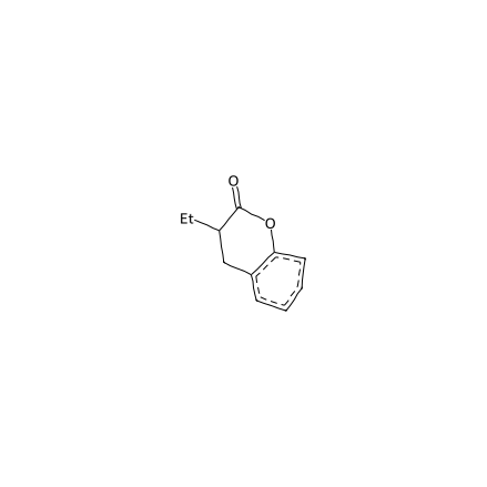 CCC1Cc2ccccc2OC1=O